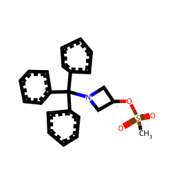 CS(=O)(=O)OC1CN(C(c2ccccc2)(c2ccccc2)c2ccccc2)C1